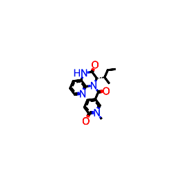 CCC(C)[C@H]1C(=O)Nc2cccnc2N1C(=O)c1ccc(=O)n(C)c1